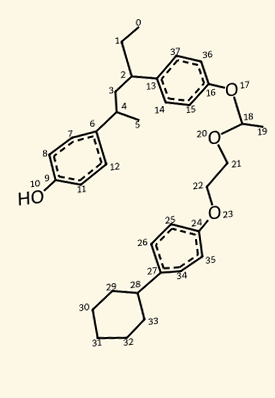 CCC(CC(C)c1ccc(O)cc1)c1ccc(OC(C)OCCOc2ccc(C3CCCCC3)cc2)cc1